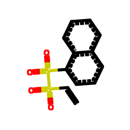 C=CS(=O)(=O)S(=O)(=O)c1cccc2ccccc12